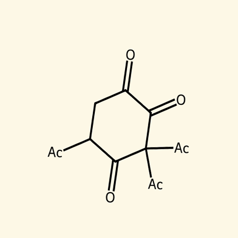 CC(=O)C1CC(=O)C(=O)C(C(C)=O)(C(C)=O)C1=O